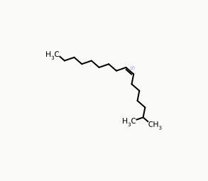 CCCCCCCC/C=C\CCCCC(C)C